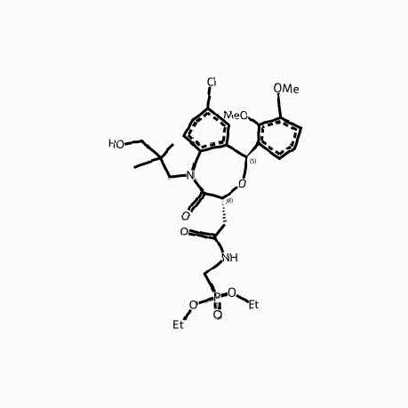 CCOP(=O)(CNC(=O)C[C@H]1O[C@H](c2cccc(OC)c2OC)c2cc(Cl)ccc2N(CC(C)(C)CO)C1=O)OCC